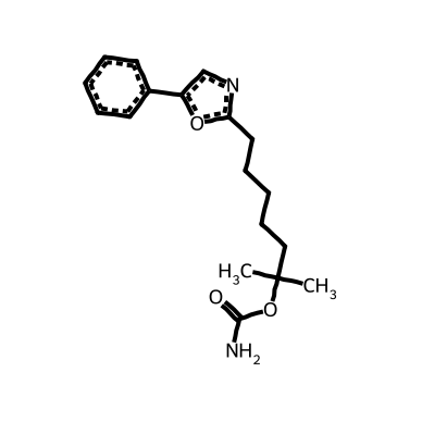 CC(C)(CCCCCc1ncc(-c2ccccc2)o1)OC(N)=O